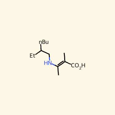 CCCCC(CC)CNC(C)=C(C)C(=O)O